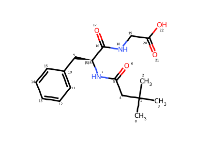 CC(C)(C)CC(=O)N[C@@H](Cc1ccccc1)C(=O)NCC(=O)O